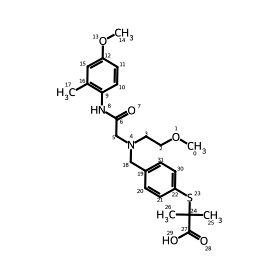 COCCN(CC(=O)Nc1ccc(OC)cc1C)Cc1ccc(SC(C)(C)C(=O)O)cc1